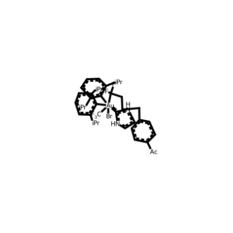 CC(=O)c1ccc(CCC[C](F)(F)[Au]([Br])([c]2c(C(C)C)cccc2C(C)C)([c]2c(C(C)C)cccc2C(C)C)(=[c]2[nH]cc[nH]2)[C](F)(F)F)cc1